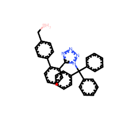 BCc1ccc(-c2ccccc2-c2nnnn2C(c2ccccc2)(c2ccccc2)c2ccccc2)cc1